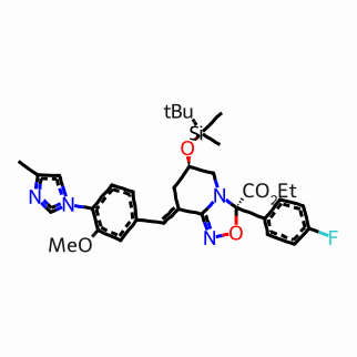 CCOC(=O)[C@]1(c2ccc(F)cc2)ON=C2/C(=C/c3ccc(-n4cnc(C)c4)c(OC)c3)C[C@@H](O[Si](C)(C)C(C)(C)C)CN21